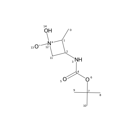 CC1C(NC(=O)OC(C)(C)C)C[N+]1([O-])O